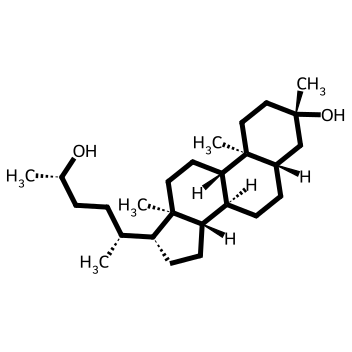 C[C@H](O)CC[C@@H](C)[C@H]1CC[C@H]2[C@@H]3CC[C@H]4C[C@@](C)(O)CC[C@]4(C)[C@H]3CC[C@]12C